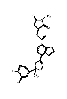 CN1C(=O)CC(NC(=O)c2ccc(C3=NOC(c4ccc(F)c(Cl)c4)(C(F)(F)F)C3)c3c2CCC3)C1=O